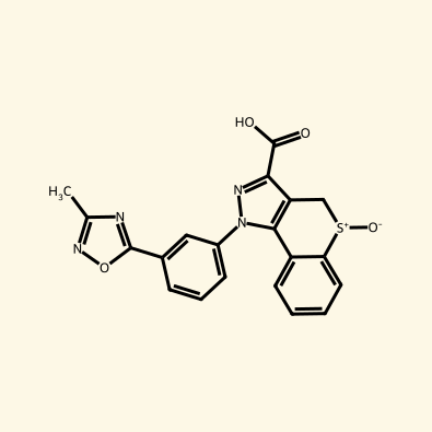 Cc1noc(-c2cccc(-n3nc(C(=O)O)c4c3-c3ccccc3[S+]([O-])C4)c2)n1